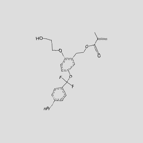 C=C(C)C(=O)OCCc1cc(OC(F)(F)c2ccc(CCC)cc2)ccc1OCCO